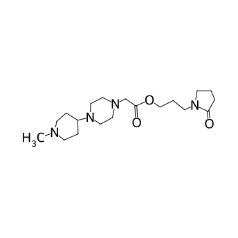 CN1CCC(N2CCN(CC(=O)OCCCN3CCCC3=O)CC2)CC1